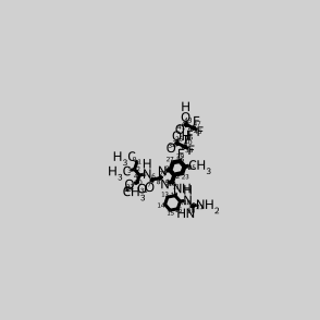 CCC(C)C(NC(=O)c1nc(NC2CCCCC2NC(=N)N)c2cc(C)ccc2n1)C(=O)OC.O=C(O)C(F)(F)F.O=C(O)C(F)(F)F